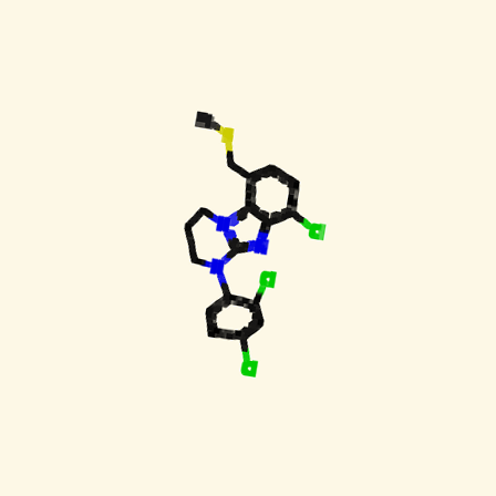 CCSCc1ccc(Cl)c2nc3n(c12)CCCN3c1ccc(Cl)cc1Cl